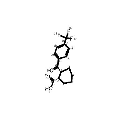 O=C(O)[C@H]1CCCC[C@@H]1C(=O)c1ccc(C(F)(F)F)cc1